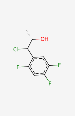 C[C@H](O)C(Cl)c1cc(F)c(F)cc1F